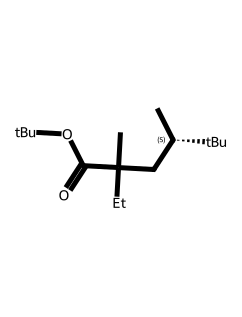 CCC(C)(C[C@H](C)C(C)(C)C)C(=O)OC(C)(C)C